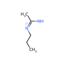 CCC/N=C(/C)[NH]